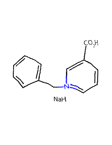 O=C(O)c1ccc[n+](Cc2ccccc2)c1.[NaH]